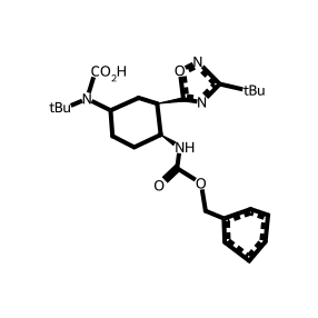 CC(C)(C)c1noc([C@@H]2CC(N(C(=O)O)C(C)(C)C)CC[C@@H]2NC(=O)OCc2ccccc2)n1